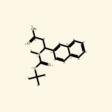 CN(C(=O)OC(C)(C)C)C(CC(=O)O)c1ccc2ccccc2c1